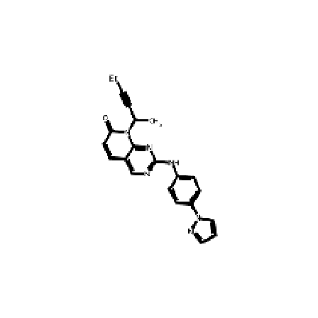 CCC#CC(C)n1c(=O)ccc2cnc(Nc3ccc(-n4cccn4)cc3)nc21